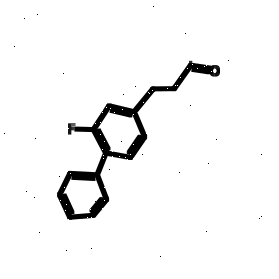 O=[C]CCc1ccc(-c2ccccc2)c(F)c1